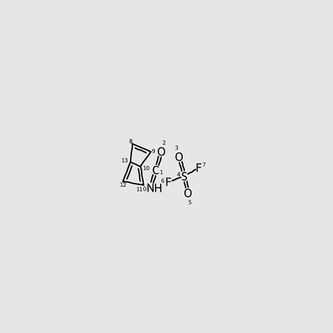 N=C=O.O=S(=O)(F)F.c1cc2ccc1-2